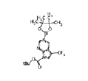 CC(C)(C)OC(=O)n1cc(C(F)(F)F)c2cc(B3OC(C)(C)C(C)(C)O3)cnc21